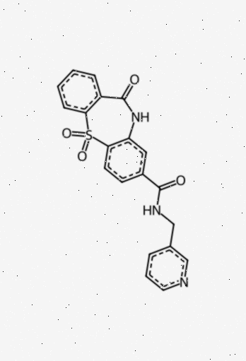 O=C(NCc1cccnc1)c1ccc2c(c1)NC(=O)c1ccccc1S2(=O)=O